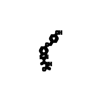 CC(=O)NC(C)c1nc2cc(OCc3ccc(O)cc3)ccc2s1